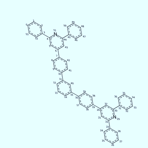 c1ccc(-c2cc(-c3ccc(-c4cccc(-c5ccc(-c6cc(-c7ccccc7)nc(-c7ccccc7)c6)cc5)c4)cc3)cc(-c3ccccc3)n2)cc1